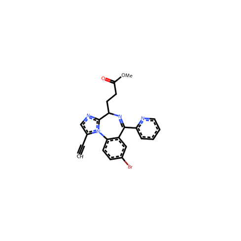 C#Cc1cnc2n1-c1ccc(Br)cc1C(c1ccccn1)=NC2CCC(=O)OC